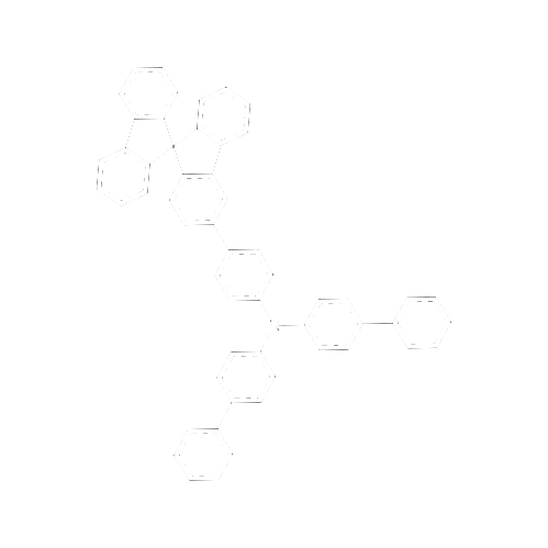 c1ccc(-c2ccc(N(c3ccc(-c4ccccc4)cc3)c3ccc(-c4ccc5c(c4)-c4ccccc4C54c5ccccc5-c5ccccc54)cc3)cc2)cc1